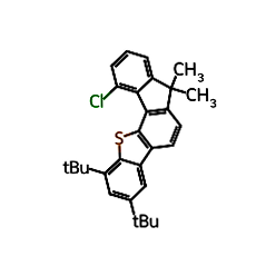 CC(C)(C)c1cc(C(C)(C)C)c2sc3c4c(ccc3c2c1)C(C)(C)c1cccc(Cl)c1-4